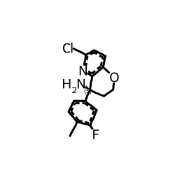 Cc1ccc([C@@]2(N)CCOc3ccc(Cl)nc32)cc1F